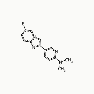 CN(C)c1ccc(-c2cn3cc(F)ccc3n2)cn1